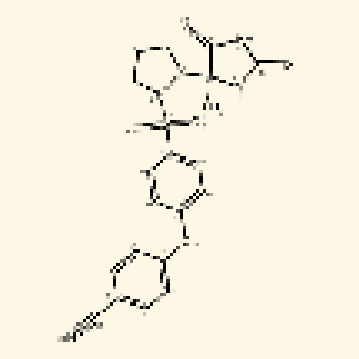 CC1(C2CCCN2S(=O)(=O)c2ccc(Oc3ccc(C#N)cc3)cc2)NC(=O)NC1=O